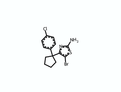 Nc1nc(C2(c3ccc(Cl)cc3)CCCC2)c(Br)s1